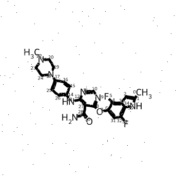 Cc1cc2c(F)c(Oc3ncnc(Nc4ccc(N5CCN(C)CC5)cc4)c3C(N)=O)cc(F)c2[nH]1